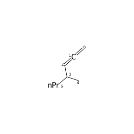 C=C=CC(C)CCC